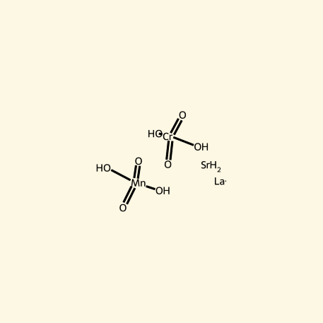 [La].[O]=[Cr](=[O])([OH])[OH].[O]=[Mn](=[O])([OH])[OH].[SrH2]